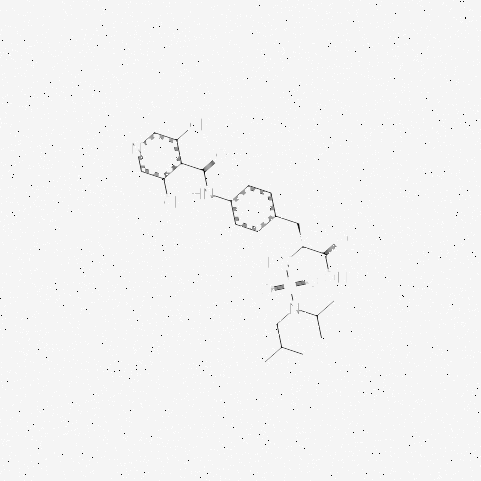 CC(C)CN(C(C)C)S(=O)(=O)N[C@@H](Cc1ccc(NC(=O)c2c(Cl)cncc2Cl)cc1)C(=O)O